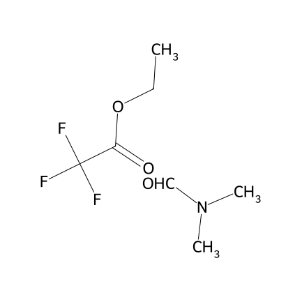 CCOC(=O)C(F)(F)F.CN(C)C=O